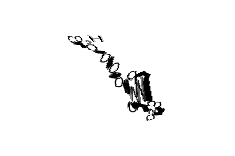 O=C(O)CCCOCCOCCOCCOCCN(C(=O)CCN1C(=O)C=CC1=O)N1C(=O)CCC1=O